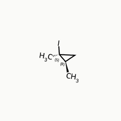 C[C@@H]1C[C@]1(C)I